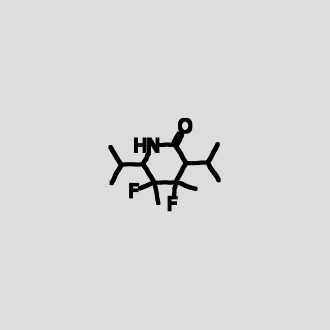 CC(C)C1NC(=O)C(C(C)C)C(C)(F)C1(C)F